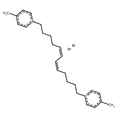 Cc1cc[n+](CCCC/C=C\C=C/CCCC[n+]2ccc(C)cc2)cc1.[Br-].[Br-]